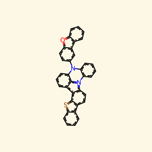 c1ccc2c(c1)N(c1ccc3oc4ccccc4c3c1)c1cccc3c4c5sc6ccccc6c5ccc4n-2c13